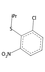 CC(C)Sc1c(Cl)cccc1[N+](=O)[O-]